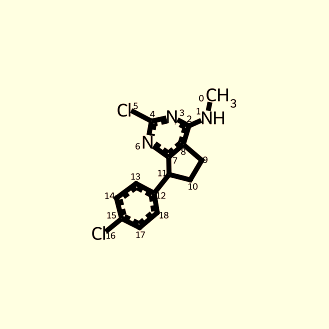 CNc1nc(Cl)nc2c1CCC2c1ccc(Cl)cc1